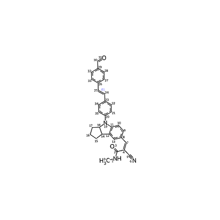 CNC(=O)C(C#N)=Cc1ccc2c(c1)C1CCCC1N2c1ccc(/C=C/c2ccc(C=O)cc2)cc1